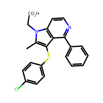 Cc1c(Sc2ccc(Cl)cc2)c2c(-c3ccccc3)nccc2n1CC(=O)O